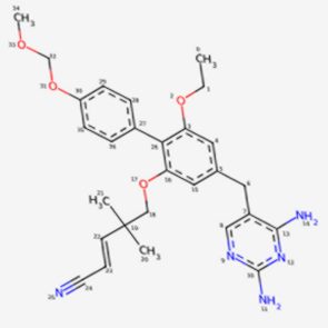 CCOc1cc(Cc2cnc(N)nc2N)cc(OCC(C)(C)/C=C/C#N)c1-c1ccc(OCOC)cc1